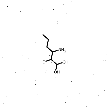 CCCC(N)C(O)C(O)O